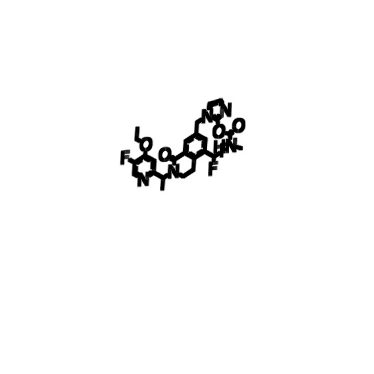 CCOc1cc(C(C)N2CCc3c(cc(Cn4ccnc4OC(=O)NC)cc3C(F)F)C2=O)ncc1F